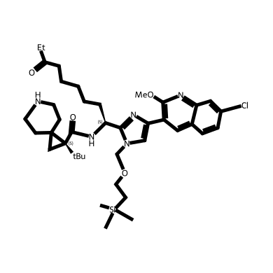 CCC(=O)CCCCC[C@H](NC(=O)[C@]1(C(C)(C)C)CC12CCNCC2)c1nc(-c2cc3ccc(Cl)cc3nc2OC)cn1COCC[Si](C)(C)C